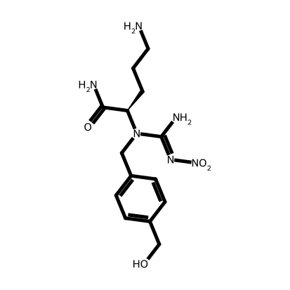 NCCC[C@H](C(N)=O)N(Cc1ccc(CO)cc1)C(N)=N[N+](=O)[O-]